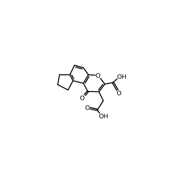 O=C(O)Cc1c(C(=O)O)oc2ccc3c(c2c1=O)CCC3